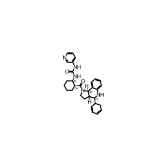 O=C(Nc1cccnc1)N[C@@H]1CCCC[C@@H]1C(=O)N1CC[C@@H]2[C@H](C3C=CC=CC3)Nc3ccccc3[C@@H]21